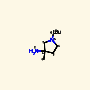 CC1(N)CCN(C(C)(C)C)C1